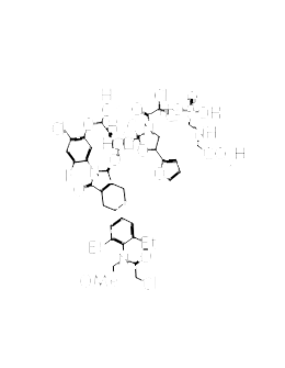 C#CC(C)Oc1cc(N2C(=O)C3=C(CCCC3)C2=O)c(F)cc1Cl.CC1(C)OC(c2ccco2)CN1C(=O)C(Cl)Cl.CCc1cccc(CC)c1N(COC)C(=O)CCl.O=C(O)CNCP(=O)(O)O